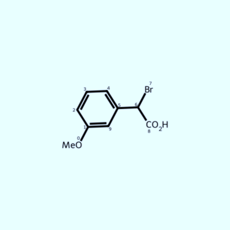 COc1cccc(C(Br)C(=O)O)c1